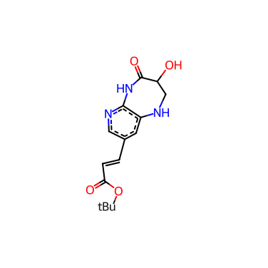 CC(C)(C)OC(=O)C=Cc1cnc2c(c1)NCC(O)C(=O)N2